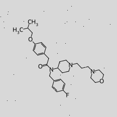 CC(C)COc1ccc(CC(=O)N(Cc2ccc(F)cc2)C2CCN(CCCN3CCOCC3)CC2)cc1